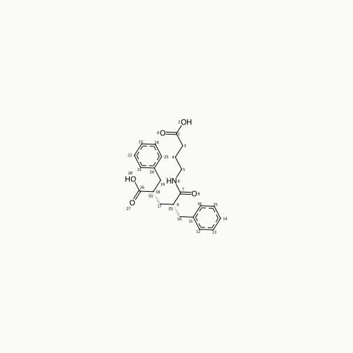 O=C(O)CCCNC(=O)[C@H](Cc1ccccc1)C[C@@H](Cc1ccccc1)C(=O)O